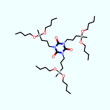 CCCCO[Si](C)(CCCn1c(=O)n(CCC[Si](C)(OCCCC)OCCCC)c(=O)n(CCC[Si](C)(OCCCC)OCCCC)c1=O)OCCCC